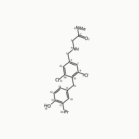 CNC(=O)CNCc1cc(Cl)c(Cc2ccc(O)c(C(C)C)c2)c(Cl)c1